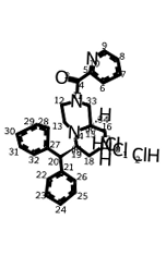 Cl.Cl.Cl.O=C(c1ccccn1)N1CCN2[C@H](CNC[C@H]2C(c2ccccc2)c2ccccc2)C1